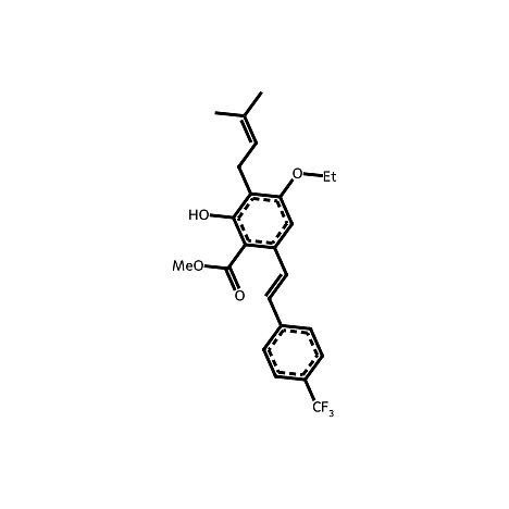 CCOc1cc(C=Cc2ccc(C(F)(F)F)cc2)c(C(=O)OC)c(O)c1CC=C(C)C